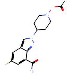 NC(=O)c1cc(F)cc2cn(C3CCN(OC(=O)C(F)(F)F)CC3)nc12